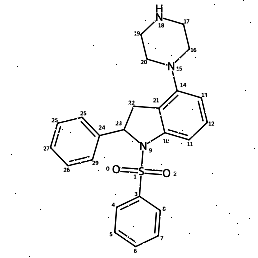 O=S(=O)(c1ccccc1)N1c2cccc(N3CCNCC3)c2CC1c1ccccc1